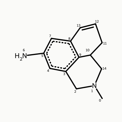 CN1Cc2cc(N)cc3c2C(CC=C3)C1